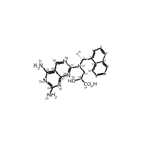 C[C@H](c1cccc2ccccc12)N(C[C@H](O)C(=O)O)c1ncc2c(N)nc(N)nc2n1